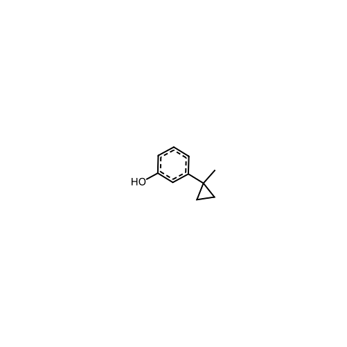 CC1(c2cccc(O)c2)CC1